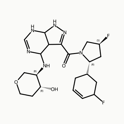 O=C(C1=NNC2NC=NC(N[C@@H]3COCC[C@H]3O)C12)N1C[C@@H](F)C[C@@H]1C1CC=CC(F)C1